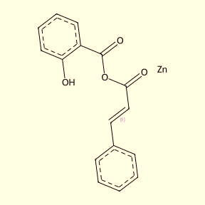 O=C(/C=C/c1ccccc1)OC(=O)c1ccccc1O.[Zn]